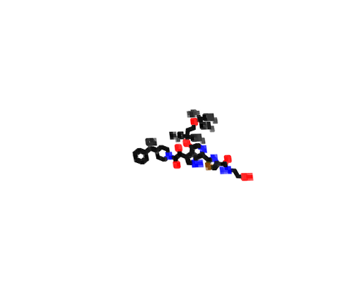 CCCC(C)(C)OCCC(C)(C)Oc1cnc(-c2nc(C(=O)NCCO)cs2)c2[nH]cc(C(=O)C(=O)N3CCC(=C(C#N)c4ccccc4)CC3)c12